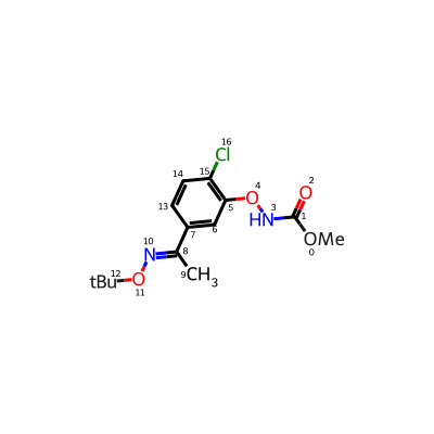 COC(=O)NOc1cc(/C(C)=N/OC(C)(C)C)ccc1Cl